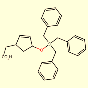 O=C(O)CC1C=CC(O[Si](Cc2ccccc2)(Cc2ccccc2)Cc2ccccc2)C1